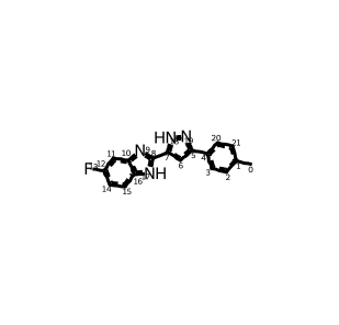 Cc1ccc(-c2cc(-c3nc4cc(F)ccc4[nH]3)[nH]n2)cc1